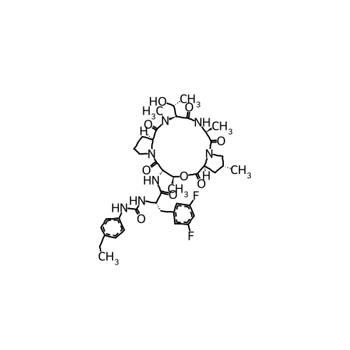 CCc1ccc(NC(=O)N[C@@H](Cc2cc(F)cc(F)c2)C(=O)N[C@@H]2C(=O)N3CCC[C@H]3C(=O)N(C)[C@@H]([C@@H](C)O)C(=O)N[C@@H](C)C(=O)N3C[C@H](C)C[C@H]3C(=O)O[C@H]2C)cc1